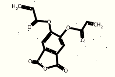 C=CC(=O)Oc1cc2c(cc1OC(=O)C=C)C(=O)OC2=O